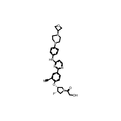 N#Cc1cc(-c2nccc(Nc3ccc(N4CCN(C5COC5)CC4)cc3)n2)ccc1O[C@@H]1CN(C(=O)CO)C[C@@H]1F